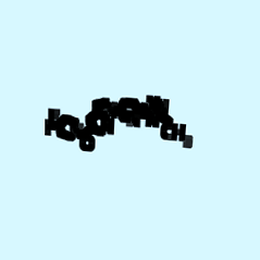 CCc1nnn(-c2ccc(-n3ccc4cc(C(=O)N5CCC(F)(F)CC5)cnc43)cn2)n1